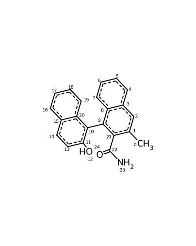 Cc1cc2ccccc2c(-c2c(O)ccc3ccccc23)c1C(N)=O